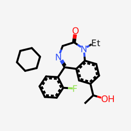 C1CCCCC1.CCN1C(=O)CN=C(c2ccccc2F)c2cc(C(C)O)ccc21